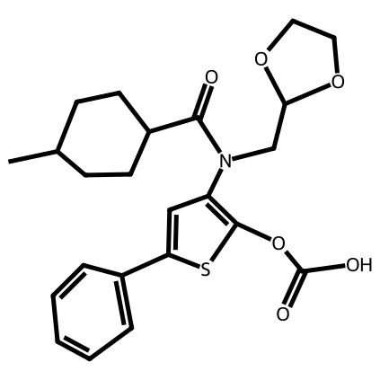 CC1CCC(C(=O)N(CC2OCCO2)c2cc(-c3ccccc3)sc2OC(=O)O)CC1